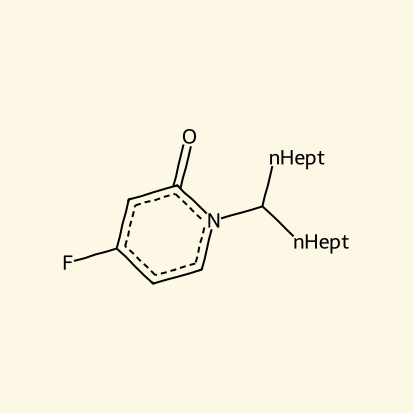 CCCCCCCC(CCCCCCC)n1ccc(F)cc1=O